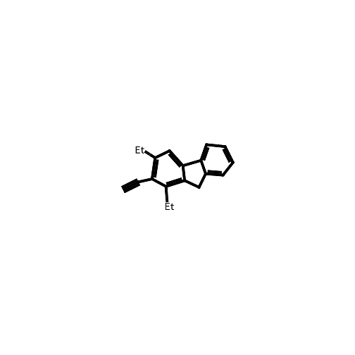 C#Cc1c(CC)cc2c(c1CC)Cc1ccccc1-2